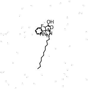 CCCCCCCCCCCCN1N=NC(c2ccccc2)(C(F)C(=O)O)N1